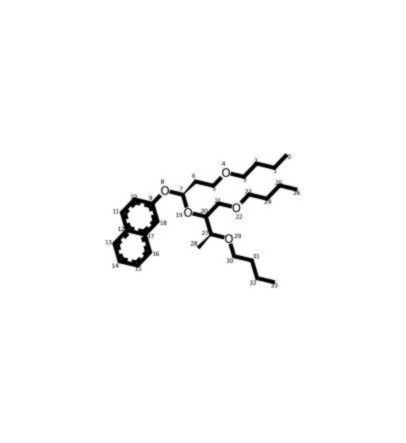 CCCCOCC[C@H](Oc1ccc2ccccc2c1)OC(COCCCC)[C@H](C)OCCCC